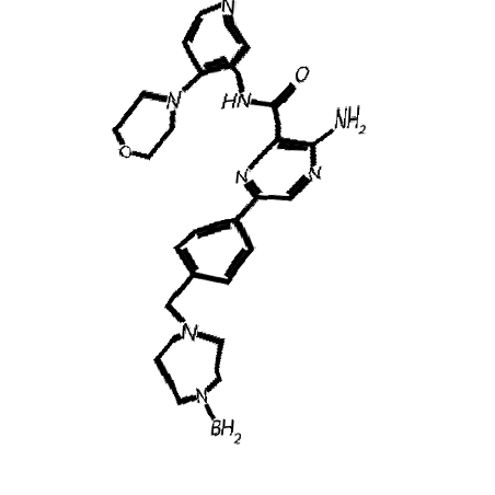 BN1CCN(Cc2ccc(-c3cnc(N)c(C(=O)Nc4cnccc4N4CCOCC4)n3)cc2)CC1